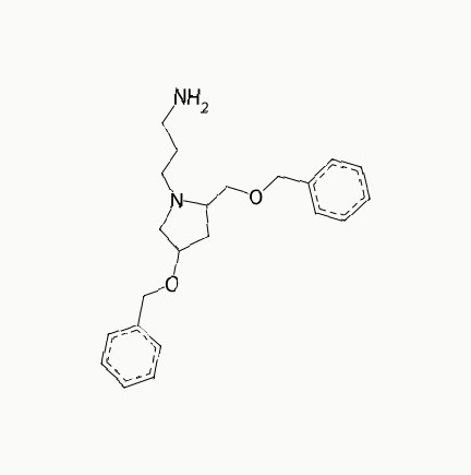 NCCCN1CC(OCc2ccccc2)CC1COCc1ccccc1